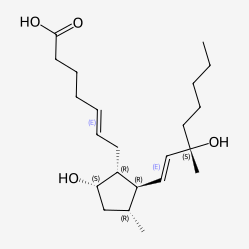 CCCCC[C@](C)(O)/C=C/[C@@H]1[C@@H](C/C=C/CCCC(=O)O)[C@@H](O)C[C@H]1C